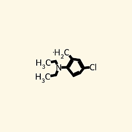 [CH2]c1cc(Cl)ccc1N(CC)CC